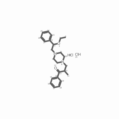 CCOC(CN1CCN(CC(C)C(=O)c2ccccc2)CC1)c1ccccc1.Cl.Cl